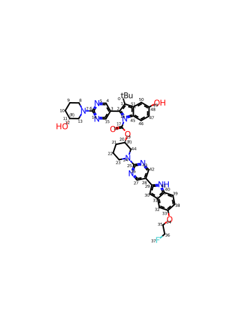 CC(C)(C)c1c(-c2cnc(N3CCC[C@@H](O)C3)nc2)n(C(=O)O[C@@H]2CCCN(c3ncc(-c4cc5cc(OCCF)ccc5[nH]4)cn3)C2)c2ccc(O)cc12